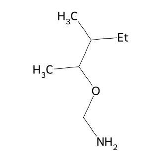 CCC(C)C(C)OCN